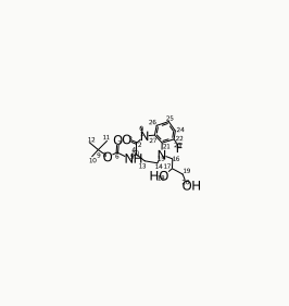 CN1C(=O)[C@@H](NC(=O)OC(C)(C)C)CCN(CC(O)CO)c2c(F)cccc21